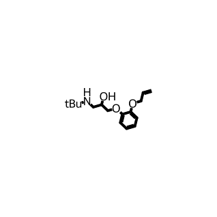 C=CCOc1ccccc1OCC(O)CNC(C)(C)C